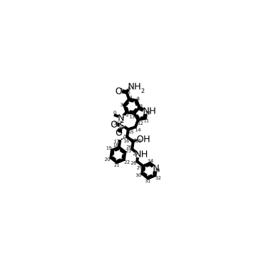 CN1c2cc(C(N)=O)cc3[nH]cc(c23)CC([C@@H](Cc2ccccc2)[C@@H](O)CNCc2cccnc2)S1(=O)=O